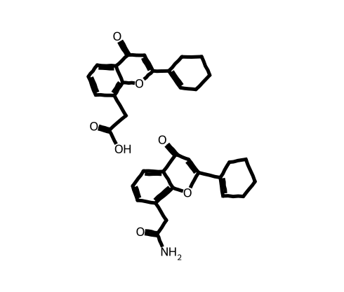 NC(=O)Cc1cccc2c(=O)cc(C3=CCCCC3)oc12.O=C(O)Cc1cccc2c(=O)cc(C3=CCCCC3)oc12